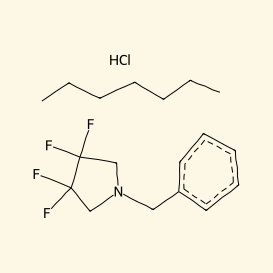 CCCCCCC.Cl.FC1(F)CN(Cc2ccccc2)CC1(F)F